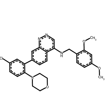 COc1ccc(CNc2cnnc3cc(-c4cc(Cl)ccc4N4CCOCC4)ccc23)c(OC)c1